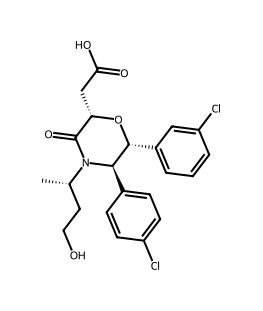 C[C@@H](CCO)N1C(=O)[C@H](CC(=O)O)O[C@H](c2cccc(Cl)c2)[C@H]1c1ccc(Cl)cc1